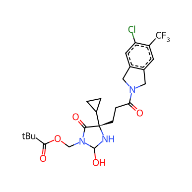 CC(C)(C)C(=O)OCN1C(=O)[C@](CCC(=O)N2Cc3cc(Cl)c(C(F)(F)F)cc3C2)(C2CC2)NC1O